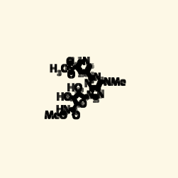 CNc1nc(-c2cncc(S(C)(=O)=O)c2)nc2c1ncn2C1O[C@@H](C(=O)NOC)C(O)C1O